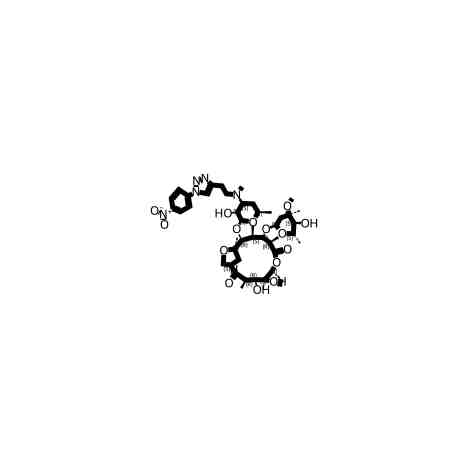 CC[C@H]1OC(=O)[C@H](C)[C@@H](O[C@H]2C[C@@](C)(OC)[C@@H](O)[C@H](C)O2)[C@H](C)[C@@H](O[C@@H]2O[C@H](C)C[C@H](N(C)CCc3cn(-c4ccc([N+](=O)[O-])cc4)nn3)[C@H]2O)[C@@]2(C)C[C@@H](CO2)C(=O)[C@H](C)[C@@H](O)[C@]1(C)O